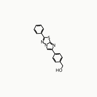 OCc1ccc(-c2cn3nc(-c4ccccc4)sc3n2)cc1